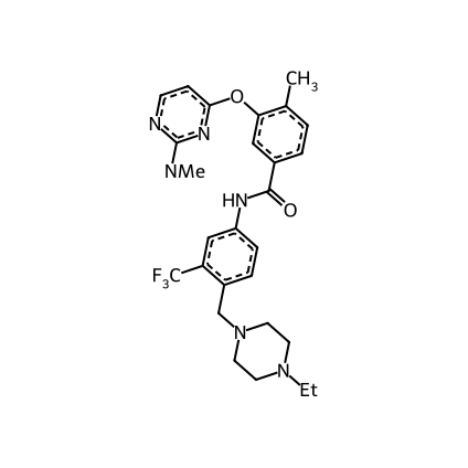 CCN1CCN(Cc2ccc(NC(=O)c3ccc(C)c(Oc4ccnc(NC)n4)c3)cc2C(F)(F)F)CC1